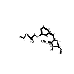 CCOC(=O)COC1=CC=CC(=CC2SC(=NC)N(C)C2=C=O)C1